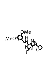 COc1cc(CNc2nc(F)nc3c2ncn3C2CCCO2)cc(OC)c1